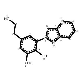 O=Cc1cc(CCO)cc(-n2nc3cccnc3n2)c1O